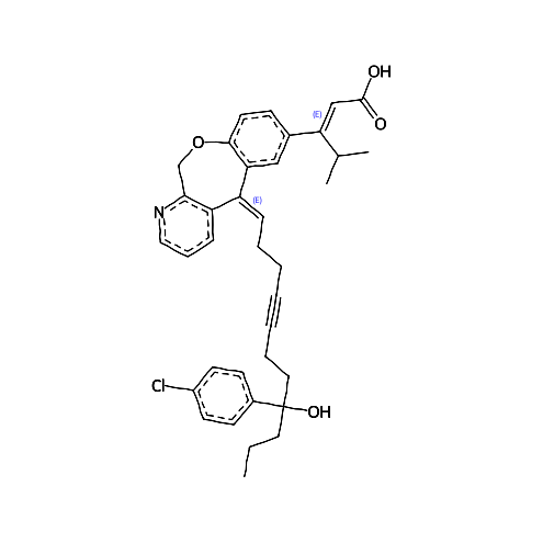 CCCC(O)(CCC#CCC/C=C1/c2cc(/C(=C/C(=O)O)C(C)C)ccc2OCc2ncccc21)c1ccc(Cl)cc1